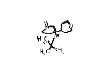 CC(C)(C)N[C@@]1(C2CCOCC2)CCNC1